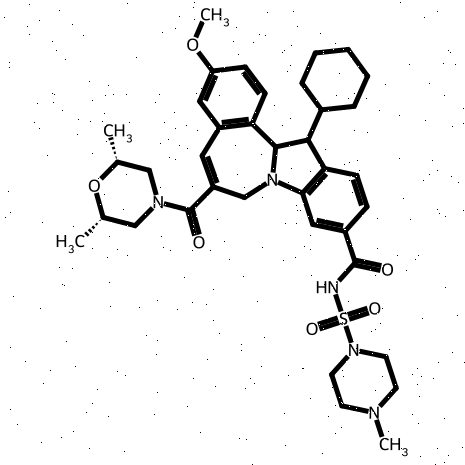 COc1ccc2c(c1)C=C(C(=O)N1C[C@@H](C)O[C@@H](C)C1)CN1c3cc(C(=O)NS(=O)(=O)N4CCN(C)CC4)ccc3C(C3CCCCC3)C21